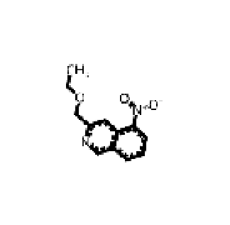 CCOCc1cc2c([N+](=O)[O-])cccc2cn1